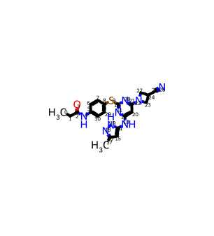 CCC(=O)Nc1ccc(Sc2nc(Nc3cc(C)n[nH]3)cc(N3CC(C#N)C3)n2)cc1